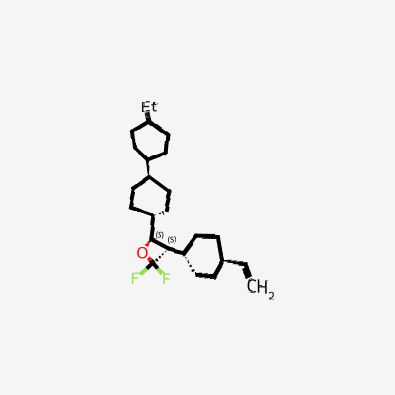 C=C[C@H]1CC[C@H]([C@H]2[C@H]([C@H]3CC[C@H](C4CCC(CC)CC4)CC3)OC2(F)F)CC1